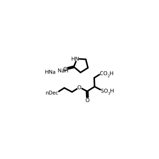 CCCCCCCCCCCCOC(=O)C(CC(=O)O)S(=O)(=O)O.O=C1CCCN1.[NaH].[NaH]